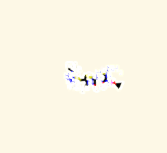 C=CCn1nnnc1SCC1=C(C(=O)O)N2C(=O)[C@@H](NC(=O)/C(=N/OC3CC3)c3csc(N)n3)[C@H]2SC1